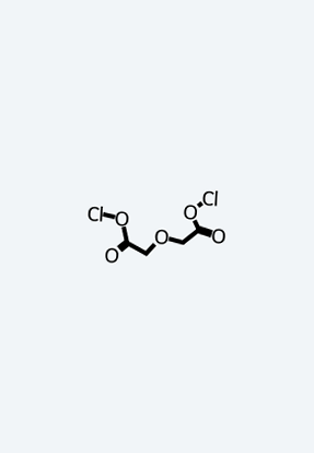 O=C(COCC(=O)OCl)OCl